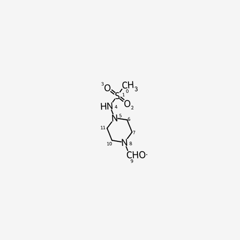 CS(=O)(=O)NN1CCN([C]=O)CC1